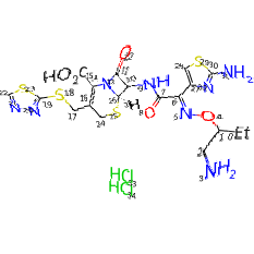 CCC(CN)O/N=C(/C(=O)NC1C(=O)N2C(C(=O)O)=C(CSc3nncs3)CS[C@H]12)c1csc(N)n1.Cl.Cl